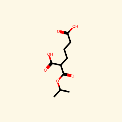 CC(C)OC(=O)C(CCCC(=O)O)C(=O)O